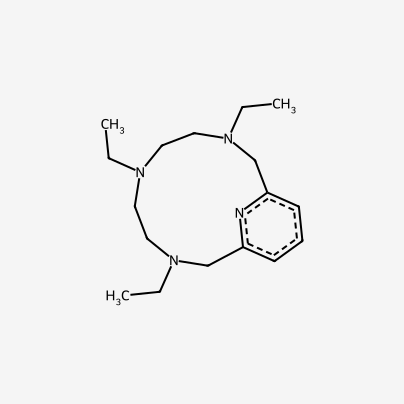 CCN1CCN(CC)Cc2cccc(n2)CN(CC)CC1